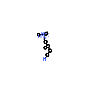 N#Cc1ccc(-c2cccc(-c3ccc(-c4ccc(C/N=C(\NC(N)c5ccccc5)c5ccccc5)cc4)c4ccccc34)c2)cc1